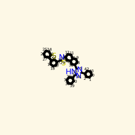 c1ccc(C2=NC(c3ccc4ccc5nc(-c6cccc7c6sc6ccccc67)sc5c4c3)NC(c3ccccc3)=N2)cc1